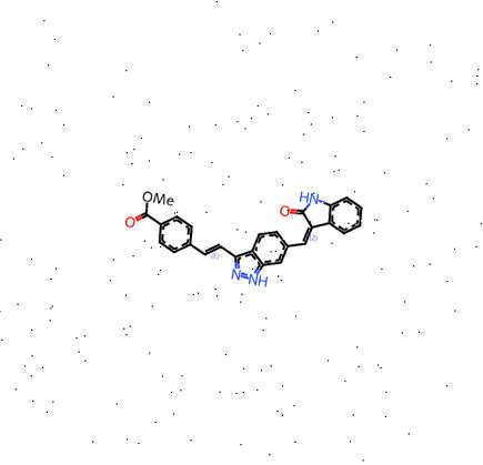 COC(=O)c1ccc(/C=C/c2n[nH]c3cc(/C=C4\C(=O)Nc5ccccc54)ccc23)cc1